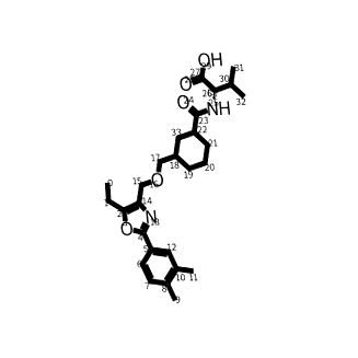 CCc1oc(-c2ccc(C)c(C)c2)nc1COCC1CCCC(C(=O)N[C@H](C(=O)O)C(C)C)C1